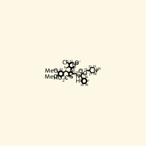 COc1ccc([C@H](Cc2c(Cl)c[n+]([O-])cc2Cl)c2cc(CNC(C(=O)OCC3CCN(C)CC3)c3ccccc3)sc2C(=O)O)cc1OC